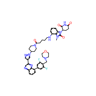 Cn1c(=O)n(C2CCC(=O)NC2=O)c2cccc(NCCCCC(=O)N3CCC(n4cc(-c5cnc6cccc(-c7cc(F)c(CN8CCOCC8)c(F)c7)c6n5)cn4)CC3)c21